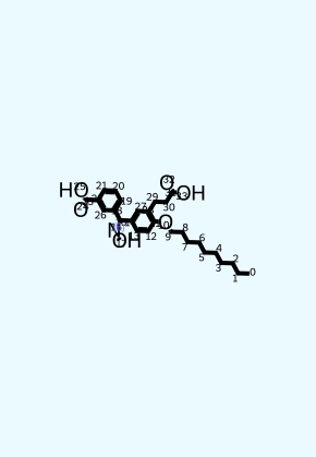 CCCCCCCCCCOc1ccc(/C(=N\O)c2cccc(C(=O)O)c2)cc1CCC(=O)O